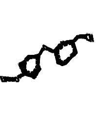 CCOc1ccc(Oc2cccc([CH]C#N)n2)cc1